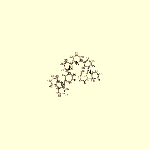 C[C@@]12C=CC=CC1c1ccccc1N2c1cccc(-c2cccc(-c3cccc(-c4cccc(-n5c6ccccc6c6ccccc65)c4)n3)n2)c1